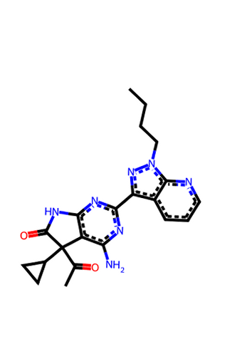 CCCCn1nc(-c2nc(N)c3c(n2)NC(=O)C3(C(C)=O)C2CC2)c2cccnc21